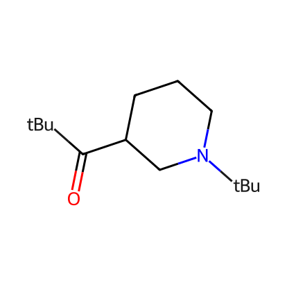 CC(C)(C)C(=O)C1CCCN(C(C)(C)C)C1